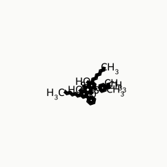 CCCCCCCc1cc(Sc2ccc(C(C)(C)C)cc2)c2c(c1O)C(=S)c1c(O)c(CCCCCCC)cc(-c3ccccc3)c1C2=O